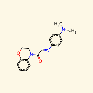 CN(C)c1ccc(/N=C/C(=O)N2CCOc3ccccc32)cc1